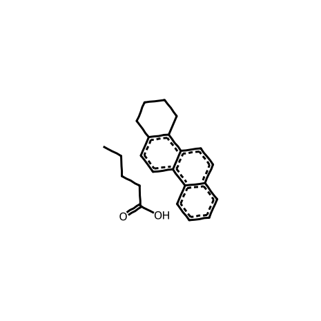 CCCCC(=O)O.c1ccc2c(c1)ccc1c3c(ccc12)CCCC3